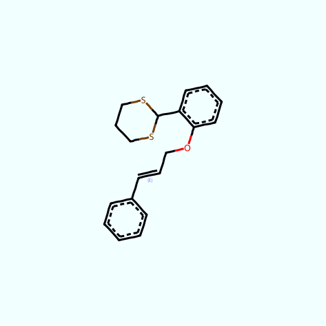 C(=C\c1ccccc1)/COc1ccccc1C1SCCCS1